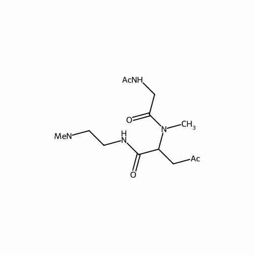 CNCCNC(=O)C(CC(C)=O)N(C)C(=O)CNC(C)=O